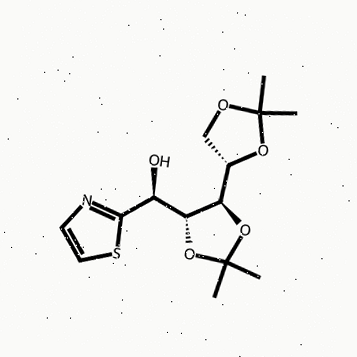 CC1(C)O[C@H]([C@@H]2COC(C)(C)O2)[C@@H]([C@H](O)c2nccs2)O1